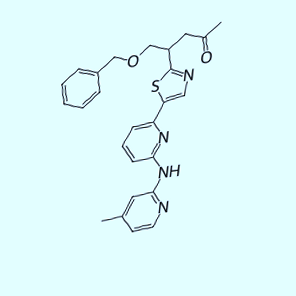 CC(=O)CC(COCc1ccccc1)c1ncc(-c2cccc(Nc3cc(C)ccn3)n2)s1